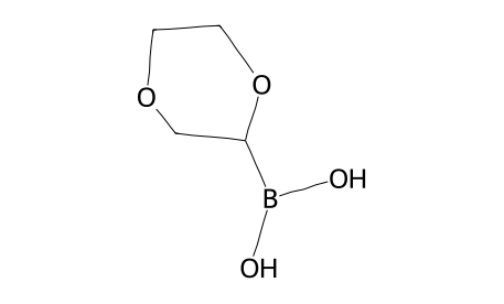 OB(O)C1COCCO1